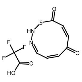 O=C(O)C(F)(F)F.O=c1cccn[nH]sc(=O)cc1